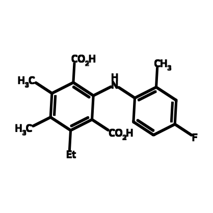 CCc1c(C)c(C)c(C(=O)O)c(Nc2ccc(F)cc2C)c1C(=O)O